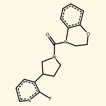 O=C(N1CCC(c2cccnc2F)C1)N1CCOc2ccccc21